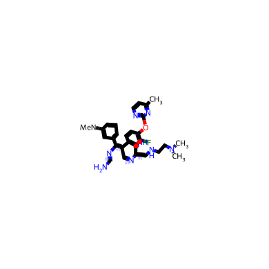 CNc1cccc(C(/N=C/N)=C(/C=N\C(C=N)=C\NCCN(C)C)c2ccc(Oc3nccc(C)n3)c(F)c2)c1